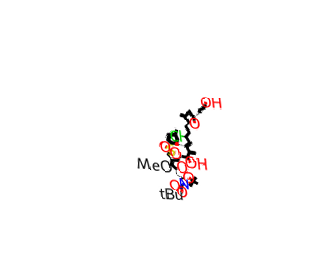 C=C(C(O)C[C@@H]1O[C@H](C[C@@H]2OC(C)(C)CN2C(=O)OC(C)(C)C)[C@H](OC)[C@H]1CS(=O)(=O)c1ccc(C)cc1)[C@H](C)C[C@@H](Cl)CC[C@@H]1O[C@@H](CCCO)CC1=C